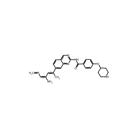 C=N/C=C(N)\C=C(/C)c1ccc2cnc(NC(=O)c3ccc(OC4CCNCC4)cc3)nc2c1